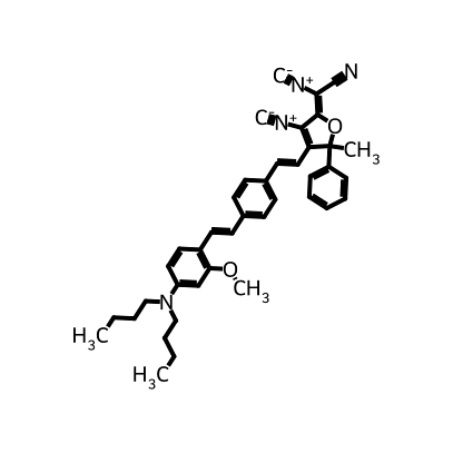 [C-]#[N+]C1=C(/C=C/c2ccc(/C=C/c3ccc(N(CCCC)CCCC)cc3OC)cc2)C(C)(c2ccccc2)O/C1=C(\C#N)[N+]#[C-]